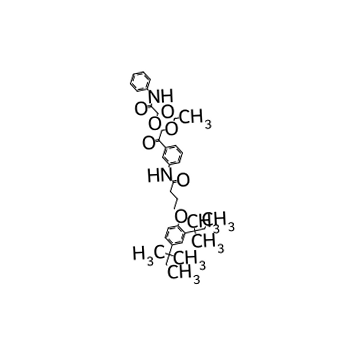 CCC(C)(C)c1ccc(OCCCC(=O)Nc2cccc(C(=O)C(OCC(=O)Nc3ccccc3)OC(C)=O)c2)c(C(C)(C)CC)c1